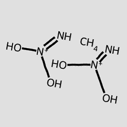 C.N=[N+](O)O.N=[N+](O)O